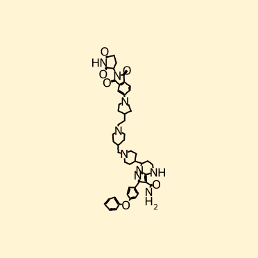 NC(=O)c1c(-c2ccc(Oc3ccccc3)cc2)nn2c1NCCC2C1CCN(CC2CCN(CCC3CCN(c4ccc5c(c4)C(=O)N(C4CCC(=O)NC4=O)C5=O)CC3)CC2)CC1